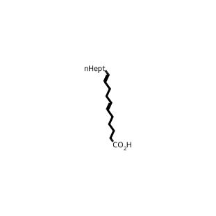 CCCCCCC/C=C/CC/C=C/CCCCC(=O)O